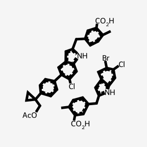 CC(=O)OCC1(c2ccc(-c3cc4cc(Cc5ccc(C)c(C(=O)O)c5)[nH]c4cc3Cl)cc2)CC1.Cc1ccc(Cc2cc3cc(Br)c(Cl)cc3[nH]2)cc1C(=O)O